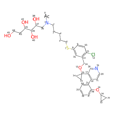 CC(=O)N(CCCCCSc1ccc(Cl)c(COC2(c3cnccc3-c3ccccc3OC3CC3)CC2)c1)CC(O)C(O)C(O)CCO